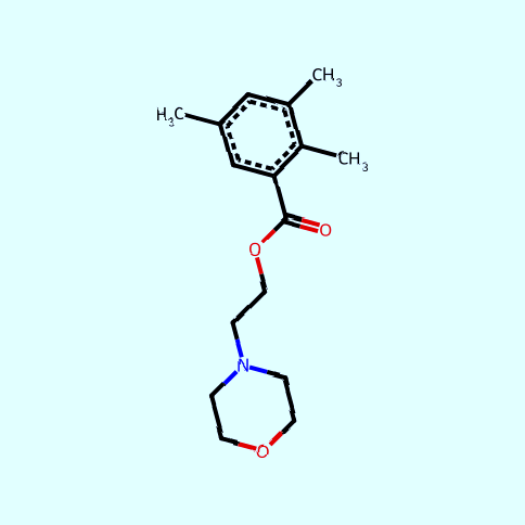 Cc1cc(C)c(C)c(C(=O)OCCN2CCOCC2)c1